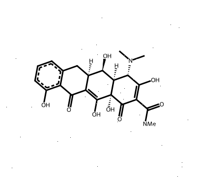 CNC(=O)C1=C(O)[C@@H](N(C)C)[C@@H]2[C@H](O)[C@@H]3Cc4cccc(O)c4C(=O)C3=C(O)[C@]2(O)C1=O